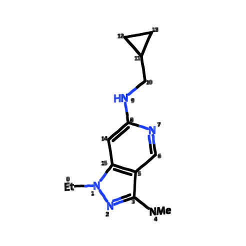 CCn1nc(NC)c2cnc(NCC3CC3)cc21